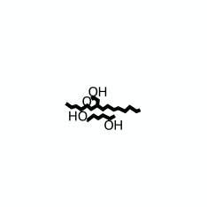 CC(O)CCCCO.CCCCCCCCC(CCCCCC)CC(=O)O